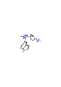 Cc1cc(-c2ccc3c(C)cccc3c2)n(-c2ccc(C(N)=O)cc2)n1